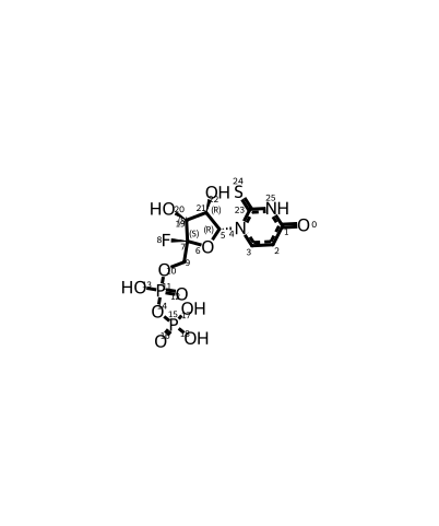 O=c1ccn([C@@H]2O[C@](F)(COP(=O)(O)OP(=O)(O)O)[C@@H](O)[C@H]2O)c(=S)[nH]1